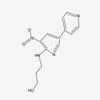 O=[N+]([O-])c1cc(-c2ccncc2)cnc1NCCCO